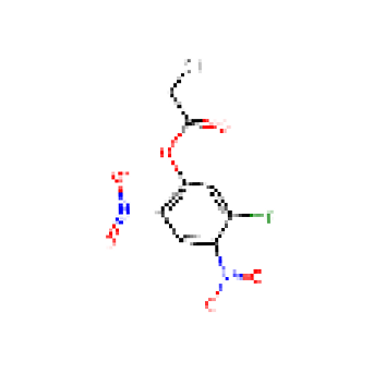 CCC(=O)Oc1cc(F)c([N+](=O)[O-])cc1[N+](=O)[O-]